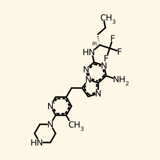 CCC[C@@H](Nc1nc(N)c2ncc(Cc3cnc(N4CCNCC4)c(C)c3)n2n1)C(F)(F)F